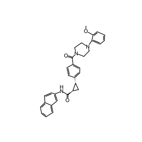 COc1ccccc1N1CCN(C(=O)c2ccc([C@@H]3C[C@H]3C(=O)Nc3ccc4ccccc4c3)cc2)CC1